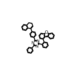 C1=C(c2ccc(-c3nc(-c4ccccc4)nc(-c4ccccc4-c4cccc5oc6ccccc6c45)n3)cc2)c2ccccc2CC1